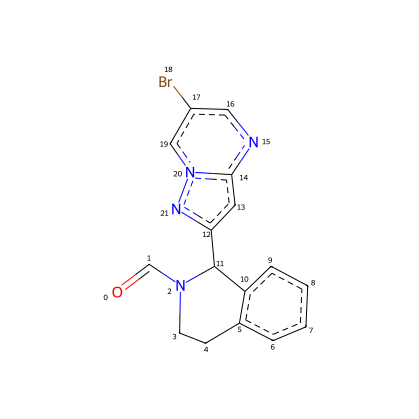 O=CN1CCc2ccccc2C1c1cc2ncc(Br)cn2n1